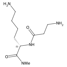 CNC(=O)[C@H](CCCCN)NC(=O)CCN